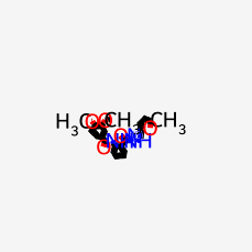 COc1ccc(C(=O)Nc2ccccc2C(=O)N/N=C/c2ccc(C)o2)cc1OC